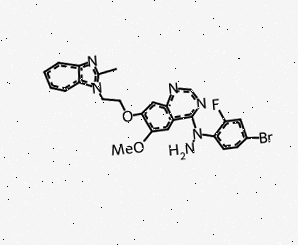 COc1cc2c(N(N)c3ccc(Br)cc3F)ncnc2cc1OCCn1c(C)nc2ccccc21